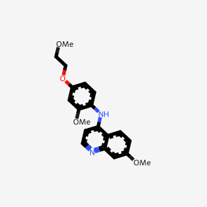 COCCOc1ccc(Nc2ccnc3cc(OC)ccc23)c(OC)c1